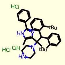 Cc1[nH]c(-c2ccccc2)nc1C(C)(C(c1ccccc1C(C)(C)C)c1ccccc1C(C)(C)C)N1CCNCC1.Cl.Cl.Cl